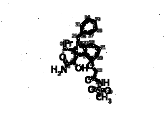 CC(C)Cc1c(C(O)C(N)=O)c2c(OCC(=O)NS(C)(=O)=O)cccc2n1Cc1ccccc1